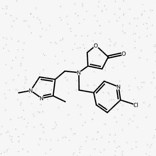 Cc1nn(C)cc1CN(Cc1ccc(Cl)nc1)C1=CC(=O)OC1